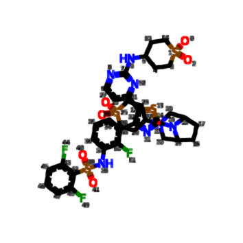 O=S1(=O)CCC(Nc2nccc(-c3sc(N4C5CCC4CN(C4CCS(=O)(=O)CC4)C5)nc3-c3cccc(NS(=O)(=O)c4c(F)cccc4F)c3F)n2)CC1